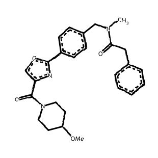 COC1CCN(C(=O)c2coc(-c3ccc(CN(C)C(=O)Cc4ccccc4)cc3)n2)CC1